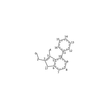 CCC1=C(C)c2c(cccc2-c2ccccc2)[CH]1